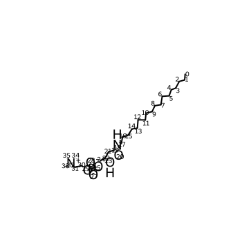 CCCCCCCCCCCCCCCCCCNC(=O)CC(O)COP(=O)([O-])OCC[N+](C)(C)C